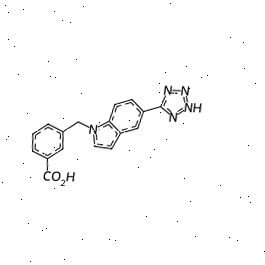 O=C(O)c1cccc(Cn2ccc3cc(-c4nn[nH]n4)ccc32)c1